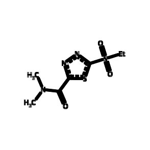 CCS(=O)(=O)c1nnc(C(=O)N(C)C)s1